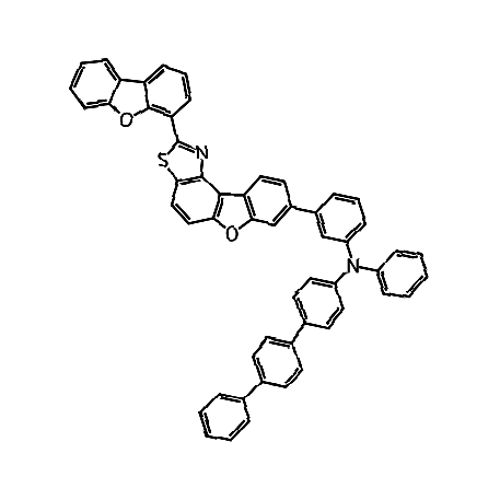 c1ccc(-c2ccc(-c3ccc(N(c4ccccc4)c4cccc(-c5ccc6c(c5)oc5ccc7sc(-c8cccc9c8oc8ccccc89)nc7c56)c4)cc3)cc2)cc1